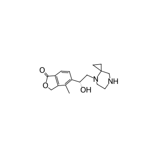 Cc1c([C@@H](O)CN2CCNCC23CC3)ccc2c1COC2=O